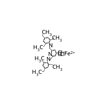 CCc1cc(CC)c(N=Cc2cc(Cl)cc(C=Nc3c(CC)cc(CC)cc3CC)n2)c(CC)c1.[Cl-].[Cl-].[Fe+2]